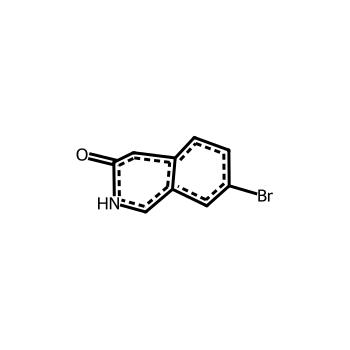 O=c1cc2ccc(Br)cc2c[nH]1